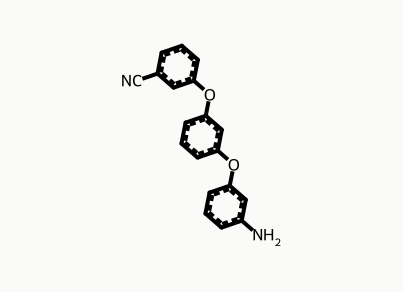 N#Cc1cccc(Oc2cccc(Oc3cccc(N)c3)c2)c1